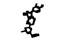 COc1cc(C)cc(-c2ccc3c(-c4ccc(F)c(C)c4)n[nH]c3n2)c1